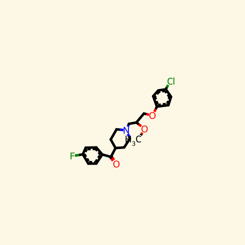 COC(COc1ccc(Cl)cc1)CN1CCC(C(=O)c2ccc(F)cc2)CC1